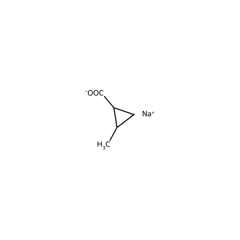 CC1CC1C(=O)[O-].[Na+]